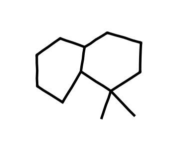 CC1(C)CCCC2CCCCC21